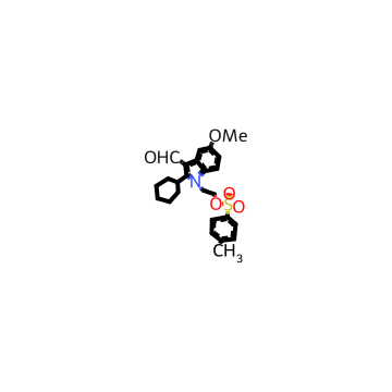 COc1ccc2c(c1)c(C=O)c(C1CCCCC1)n2CCOS(=O)(=O)c1ccc(C)cc1